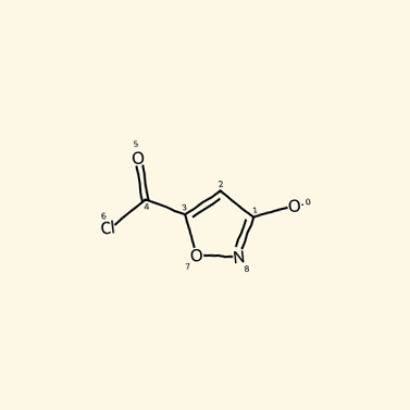 [O]c1cc(C(=O)Cl)on1